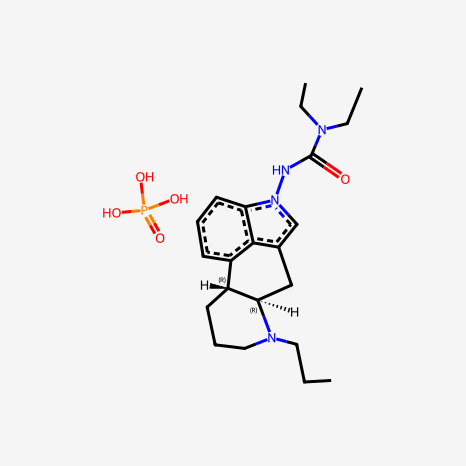 CCCN1CCC[C@@H]2c3cccc4c3c(cn4NC(=O)N(CC)CC)C[C@H]21.O=P(O)(O)O